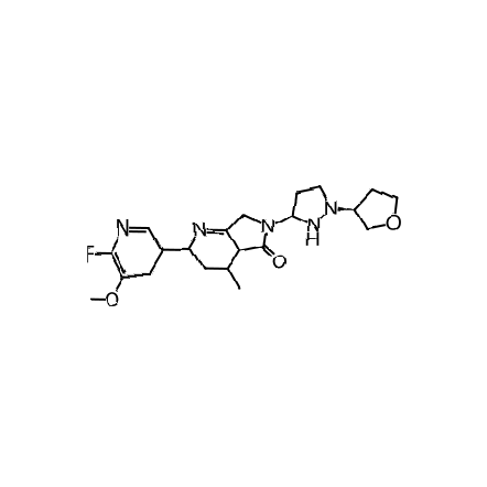 COC1=C(F)N=CC(C2CC(C)C3C(=O)N(C4CCN([C@H]5CCOC5)N4)CC3=N2)C1